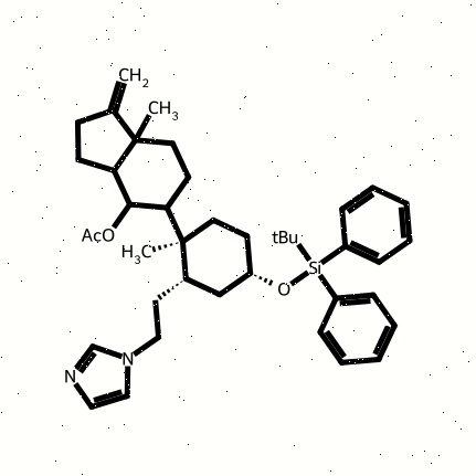 C=C1CCC2C(OC(C)=O)C([C@@]3(C)CC[C@H](O[Si](c4ccccc4)(c4ccccc4)C(C)(C)C)C[C@@H]3CCn3ccnc3)CCC12C